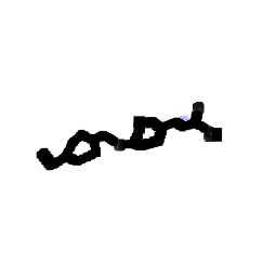 C=CC1CCC(COc2ccc(/C=C/C(=O)O)cc2)CC1